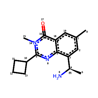 Cc1cc([C@@H](C)N)c2nc(C3CCC3)n(C)c(=O)c2c1